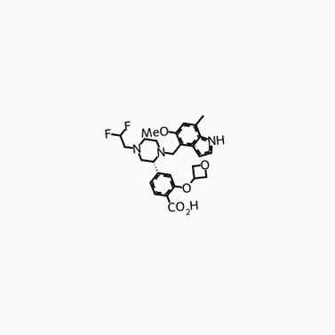 COc1cc(C)c2[nH]ccc2c1CN1CCN(CC(F)F)C[C@H]1c1ccc(C(=O)O)c(OC2COC2)c1